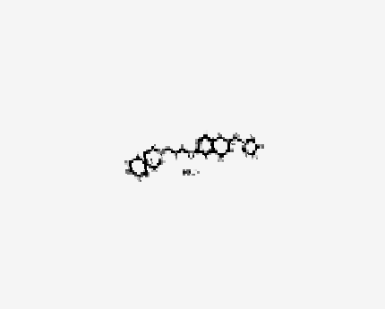 Cl.c1cc2c(cc1OCCCN1CCC3(CCCCC3)CC1)CCC(CN1CCCC1)C2